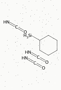 N=C=O.N=C=O.N=C=O.[SiH3]C1CCCCC1